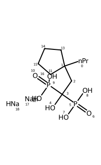 CCCC1(CC(O)(P(=O)(O)O)P(=O)(O)O)CCCC1.[NaH].[NaH]